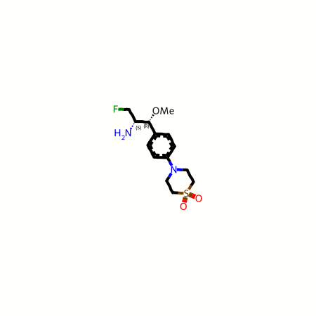 CO[C@H](c1ccc(N2CCS(=O)(=O)CC2)cc1)[C@H](N)CF